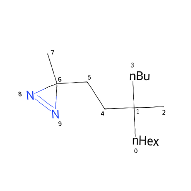 CCCCCCC(C)(CCCC)CCC1(C)N=N1